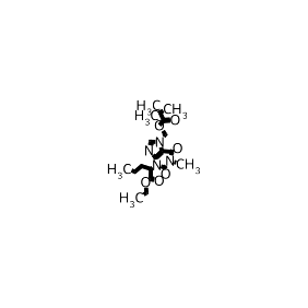 CCCC(C(=O)OCC)n1c(=O)n(C)c(=O)c2c1ncn2COC(=O)C(C)(C)C